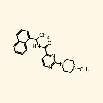 C[C@@H](NC(=O)c1ccnc(N2CCN(C)CC2)n1)c1cccc2ccccc12